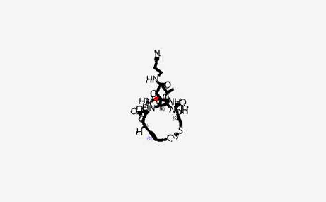 CC(C)[C@H]1NC(=O)[C@H]2CSSCC/C=C/[C@H](CC(=O)N[C@H](CCC(=O)NCCC#N)C(=O)N2)OC(=O)CNC1=O